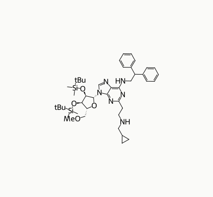 COC[C@H]1O[C@@H](n2cnc3c(NCC(c4ccccc4)c4ccccc4)nc(CCNCC4CC4)nc32)[C@H](O[Si](C)(C)C(C)(C)C)[C@@H]1O[Si](C)(C)C(C)(C)C